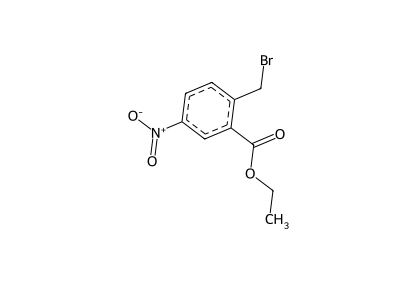 CCOC(=O)c1cc([N+](=O)[O-])ccc1CBr